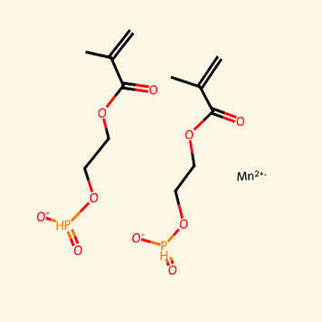 C=C(C)C(=O)OCCO[PH](=O)[O-].C=C(C)C(=O)OCCO[PH](=O)[O-].[Mn+2]